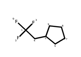 FC(F)(F)CC1C[CH]CC1